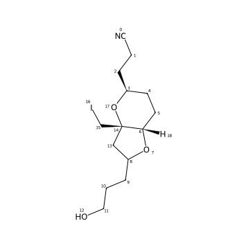 N#CCC[C@H]1CC[C@@H]2OC(CCCO)C[C@]2(CI)O1